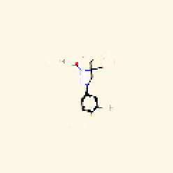 CCCCCCCCSc1ccc(CCC(CO)(CO)NC(=O)OC(C)(C)C)cc1C(F)(F)F